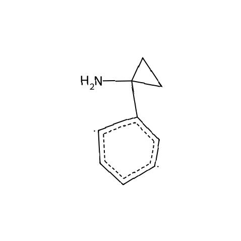 NC1(c2[c]cc[c]c2)CC1